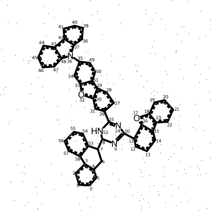 c1ccc2c(c1)CC(C1N=C(c3cccc4c3oc3ccccc34)N=C(c3ccc4c(c3)oc3cc(-n5c6ccccc6c6ccccc65)ccc34)N1)c1ccccc1-2